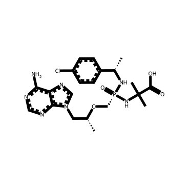 C[C@H](Cn1cnc2c(N)ncnc21)OC[P@](=O)(N[C@@H](C)c1ccc(Cl)cc1)NC(C)(C)C(=O)O